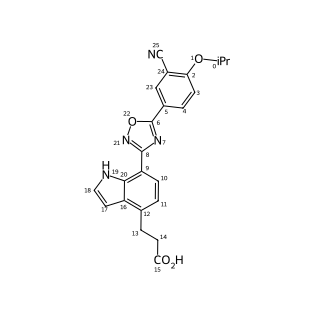 CC(C)Oc1ccc(-c2nc(-c3ccc(CCC(=O)O)c4cc[nH]c34)no2)cc1C#N